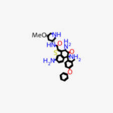 CO[C@@H]1CNC[C@H](NC(=O)c2sc3c(N)ccc4c3c2C(N)C(=O)C4(N)c2ccc(Oc3ccccc3)cc2C)C1